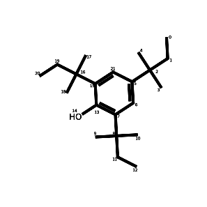 CCC(C)(C)c1cc(C(C)(C)CC)c(O)c(C(C)(C)CC)c1